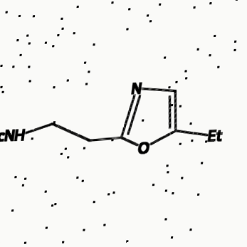 CCc1cnc(CCNC(C)=O)o1